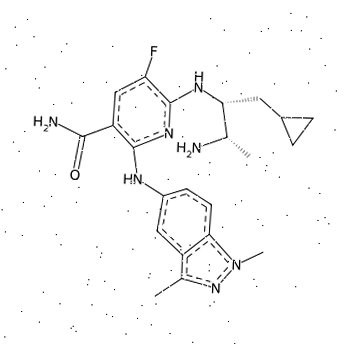 Cc1nn(C)c2ccc(Nc3nc(N[C@H](CC4CC4)[C@H](C)N)c(F)cc3C(N)=O)cc12